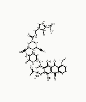 COc1cccc2c1C(=O)c1c(O)c3c(c(O)c1C2=O)C[C@@](O)(C(C)=O)C[C@@H]3O[C@H]1CC(N2C(C#N)CN(C(=O)OCc3cnc([N+](=O)[O-])n3C)CC2C#N)C(O)C(C)O1